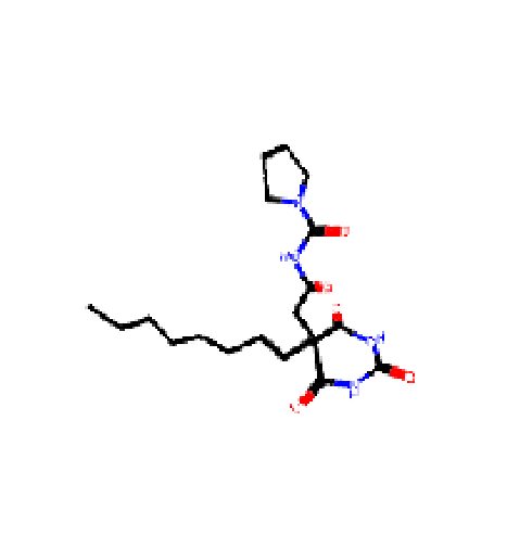 CCCCCCCCC1(CC(=O)NC(=O)N2CCCC2)C(=O)NC(=O)NC1=O